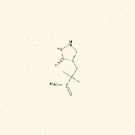 COC(=O)C(C)(C)CC1CNNC1=O